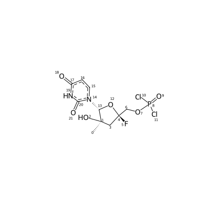 C[C@@]1(O)C[C@@](F)(COP(=O)(Cl)Cl)O[C@H]1n1ccc(=O)[nH]c1=O